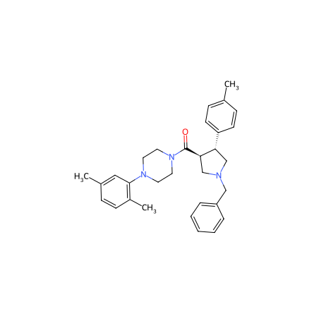 Cc1ccc([C@@H]2CN(Cc3ccccc3)C[C@H]2C(=O)N2CCN(c3cc(C)ccc3C)CC2)cc1